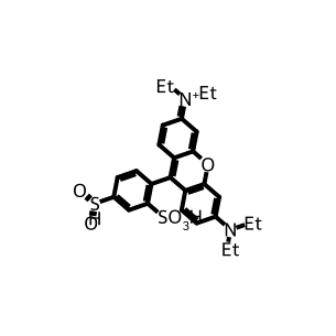 CCN(CC)c1ccc2c(-c3ccc([SH](=O)=O)cc3S(=O)(=O)O)c3ccc(=[N+](CC)CC)cc-3oc2c1